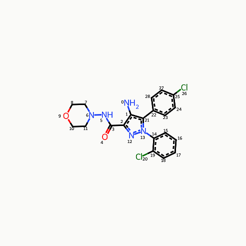 Nc1c(C(=O)NN2CCOCC2)nn(-c2ccccc2Cl)c1-c1ccc(Cl)cc1